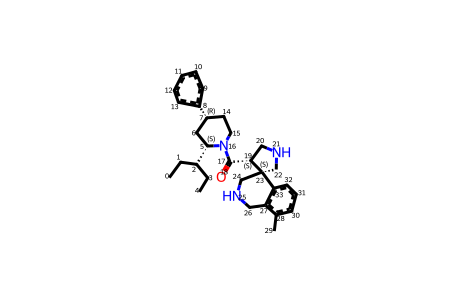 CCC(CC)[C@@H]1C[C@H](c2ccccc2)CCN1C(=O)[C@@H]1CNC[C@]12CNCc1c(C)cccc12